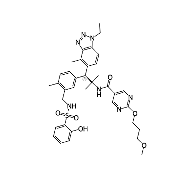 CCn1nnc2c(C)c([C@H](c3ccc(C)c(CNS(=O)(=O)c4ccccc4O)c3)C(C)(C)NC(=O)c3cnc(OCCCOC)nc3)ccc21